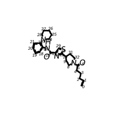 C=CCCCC(=O)N1CCC(c2nc(C(=O)Nc3ccccc3N3CCCCC3)cs2)CC1